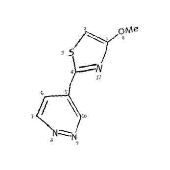 COc1csc(-c2ccnnc2)n1